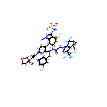 Cn1nc(NS(C)(=O)=O)c2c(Cl)ccc(-c3ccc(C#CC4(O)CCOC4)nc3[C@H](Cc3cc(F)cc(F)c3)NC(=O)Cn3nc(C(F)(F)F)c4c3C(F)(F)C3C[C@H]43)c21